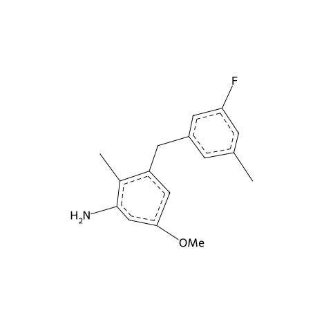 COc1cc(N)c(C)c(Cc2cc(C)cc(F)c2)c1